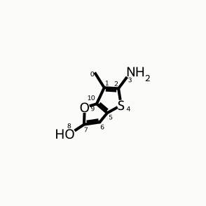 Cc1c(N)sc2cc(O)oc12